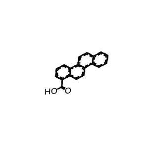 O=C(O)c1cccc2c1ccc1c3ccccc3ccc21